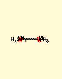 C=C(C)C(=O)OCCCCCCCCCCCCCCCCCCCOC(=O)C(=C)C